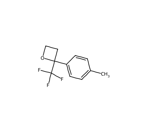 Cc1ccc(C2(C(F)(F)F)CCO2)cc1